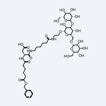 O=C(O)C[C@H](NC(=O)CCCCC(=O)OCc1ccccc1)C(=O)NCCCCCC(=O)NCCO[C@H]1O[C@H](CO[C@H]2O[C@H](CO)[C@@H](O)[C@H](O)[C@@H]2O)[C@@H](O)[C@H](OC2O[C@H](CO)[C@@H](O)[C@H](O)[C@@H]2O)[C@@H]1O